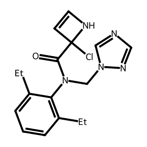 CCc1cccc(CC)c1N(Cn1cncn1)C(=O)C1(Cl)C=CN1